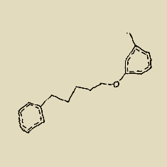 [CH2]c1cccc(OCCCCCc2ccccc2)c1